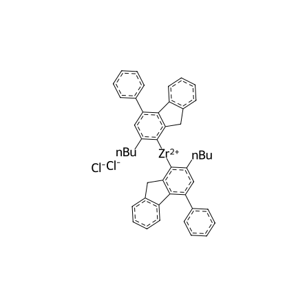 CCCCc1cc(-c2ccccc2)c2c([c]1[Zr+2][c]1c(CCCC)cc(-c3ccccc3)c3c1Cc1ccccc1-3)Cc1ccccc1-2.[Cl-].[Cl-]